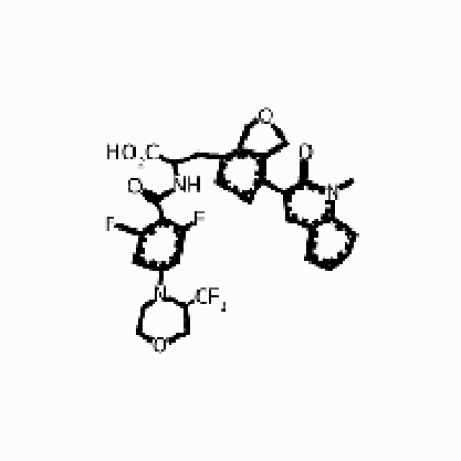 Cn1c(=O)c(-c2ccc(CC(NC(=O)c3c(F)cc(N4CCOC[C@@H]4C(F)(F)F)cc3F)C(=O)O)c3c2COC3)cc2ccccc21